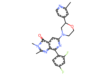 Cc1cc(C2CN(c3cc4c(=O)n(C)c(C)nc4c(-c4ccc(F)cc4F)n3)CCO2)ccn1